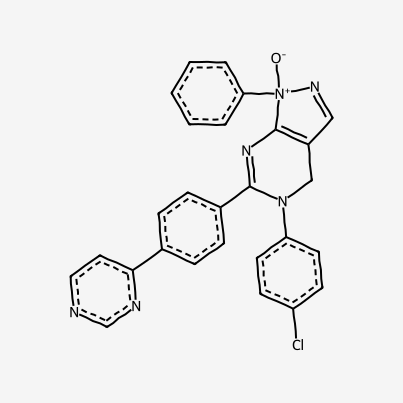 [O-][N+]1(c2ccccc2)N=CC2=C1N=C(c1ccc(-c3ccncn3)cc1)N(c1ccc(Cl)cc1)C2